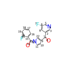 O=C(c1cncc(F)c1)c1ccn(C(=O)c2ccccc2F)c1